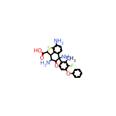 Cc1c(C2(N)C(=O)C(N)C3c4c2ccc(N)c4SC3C(=O)O)ccc(Oc2ccccc2)c1F